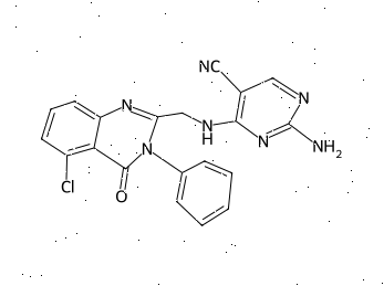 N#Cc1cnc(N)nc1NCc1nc2cccc(Cl)c2c(=O)n1-c1ccccc1